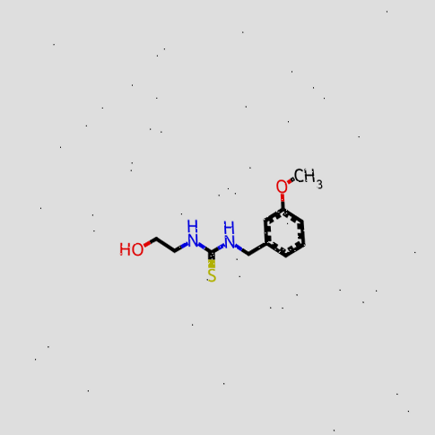 COc1cccc(CNC(=S)NCCO)c1